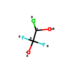 [O]C(Cl)C([O])(F)F